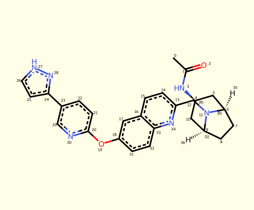 CC(=O)N[C@H]1C[C@H]2CC[C@@H](C1)N2Cc1ccc2cc(Oc3ccc(-c4cc[nH]n4)cn3)ccc2n1